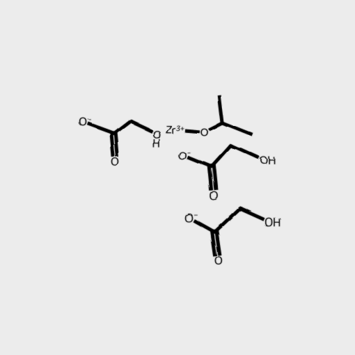 CC(C)[O][Zr+3].O=C([O-])CO.O=C([O-])CO.O=C([O-])CO